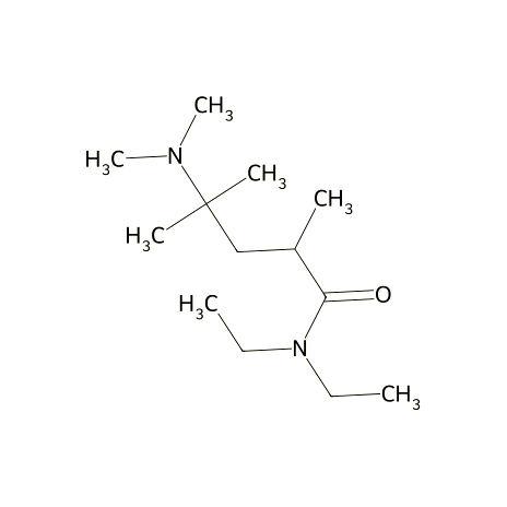 CCN(CC)C(=O)C(C)CC(C)(C)N(C)C